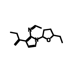 C=C(CC)c1ccn(C2CCC(CC)O2)c1/N=C\C